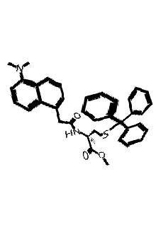 COC(=O)[C@H](CSC(c1ccccc1)(c1ccccc1)c1ccccc1)NC(=O)Cc1cccc2c(N(C)C)cccc12